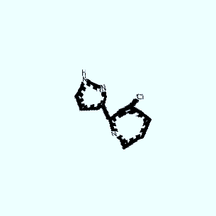 Clc1cccnc1-c1cc[nH]n1